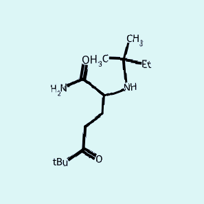 CCC(C)(C)NC(CCC(=O)C(C)(C)C)C(N)=O